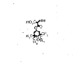 CCCCC(C(=O)O)C(=O)OC1CC(C)(C)N(O)C(C)(C)C1